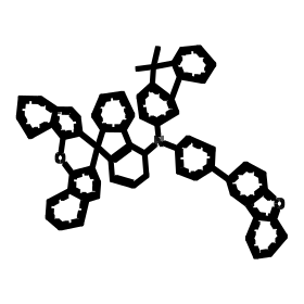 CC1(C)c2ccccc2-c2cc(N(c3ccc(-c4ccc5oc6ccccc6c5c4)cc3)C3CC=CC4=C3c3ccccc3C43c4ccc5ccccc5c4Oc4c3ccc3ccccc43)ccc21